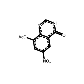 CC(=O)Oc1cc([N+](=O)[O-])cc2c(=O)[nH]cnc12